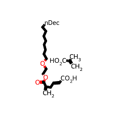 C=C(C)C(=O)O.C=C(CC=CC(=O)O)C(=O)OCCOCCCCCCCCCCCCCCCCCC